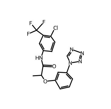 CC(Oc1cccc(-n2cnnn2)c1)C(=O)Nc1ccc(Cl)c(C(F)(F)F)c1